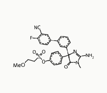 COCCS(=O)(=O)Oc1ccc(C2(c3cccc(-c4ccc(F)c(C#N)c4)c3)N=C(N)N(C)C2=O)cc1